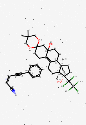 CC1(C)COC2(CCC3=C4[C@@H](CC[C@@]3(O)C2)[C@@H]2CC[C@@](O)(C(F)(F)C(F)(F)F)[C@@]2(C)C[C@@H]4c2ccc(C#C/C=C\C#N)cc2)OC1